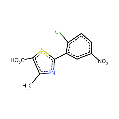 Cc1nc(-c2cc([N+](=O)[O-])ccc2Cl)sc1C(=O)O